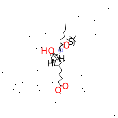 CCCCC[C@@H](/C=C/[C@@H]1[C@H]2CC(CCCCC(=O)OC)=C[C@H]2C[C@H]1O)O[Si](C)(C)C(C)(C)C